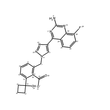 Nc1nc(-c2cn(Cc3cccc(C4(O)CCC4)[n+]3C(=O)[O-])nn2)c2cccc(F)c2n1